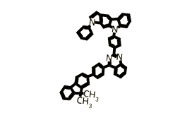 CC1(C)c2ccccc2-c2ccc(-c3ccc(-c4nc(-c5ccc(-n6c7ccccc7c7cc8ccn(-c9ccccc9)c8cc76)cc5)nc5ccccc45)cc3)cc21